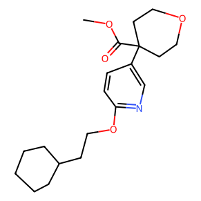 COC(=O)C1(c2ccc(OCCC3CCCCC3)nc2)CCOCC1